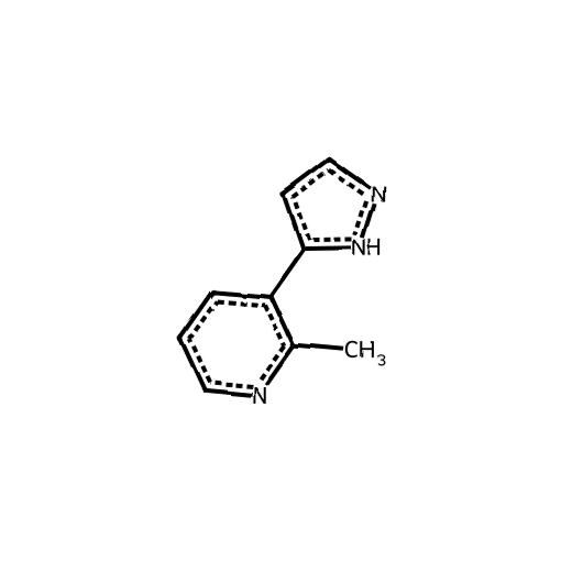 Cc1ncccc1-c1ccn[nH]1